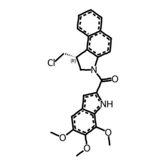 COc1cc2cc(C(=O)N3C[C@H](CCl)c4c3ccc3ccccc43)[nH]c2c(OC)c1OC